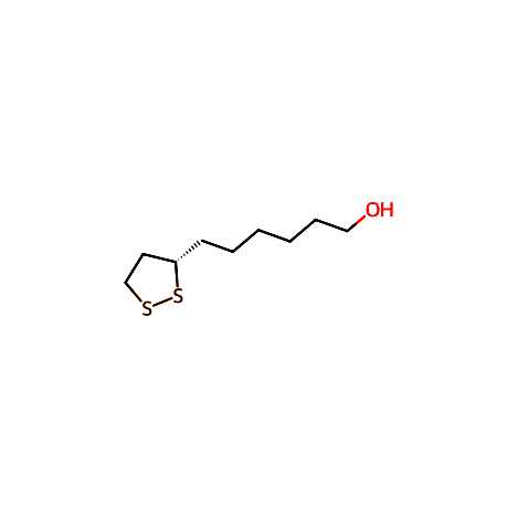 OCCCCCC[C@H]1CCSS1